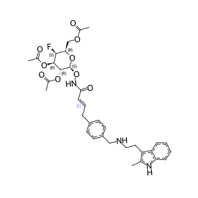 CC(=O)OC[C@H]1O[C@@H](ONC(=O)/C=C/Cc2ccc(CNCCc3c(C)[nH]c4ccccc34)cc2)[C@H](OC(C)=O)[C@@H](OC(C)=O)[C@H]1F